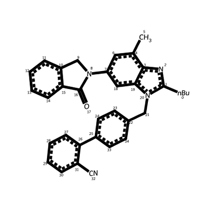 CCCCc1nc2c(C)cc(N3Cc4ccccc4C3=O)cc2n1Cc1ccc(-c2ccccc2C#N)cc1